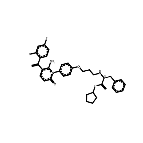 C=C(c1ccc(F)cc1F)c1ccc(=O)n(-c2ccc(OCCCN[C@@H](Cc3ccccc3)C(=C)OC3CCCC3)cc2)c1N